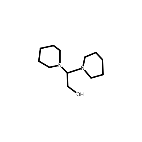 OCC(N1CCCCC1)N1CCCCC1